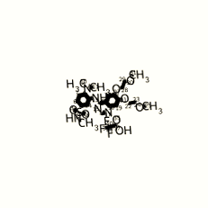 CNS(=O)(=O)c1ccc(N(C)C)c(Nc2ncnc3cc(OCCOC)c(OCCOC)cc23)c1.O=C(O)C(F)(F)F